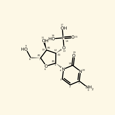 Nc1ccn([C@@H]2O[C@H](CO)[C@@H](O)[C@@H]2OP(=O)(O)O)c(=O)n1